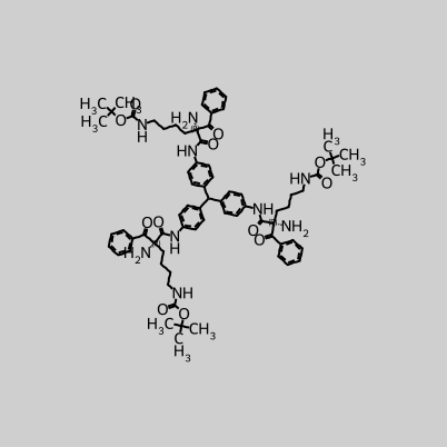 CC(C)(C)OC(=O)NCCCC[C@](N)(C(=O)Nc1ccc(C(c2ccc(NC(=O)[C@@](N)(CCCCNC(=O)OC(C)(C)C)C(=O)c3ccccc3)cc2)c2ccc(NC(=O)[C@@](N)(CCCCNC(=O)OC(C)(C)C)C(=O)c3ccccc3)cc2)cc1)C(=O)c1ccccc1